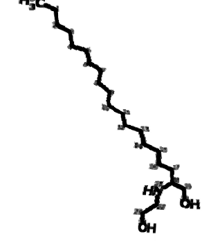 CCCCCCCCCCCCCCCCCCC(CO)NCCO